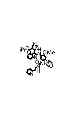 COc1cc(N2CCOCC2)c(NC(=O)NCCc2ccccn2)cc1Nc1c(-c2ncncc2C(=O)OC(C)C)c2ccccc2n1C